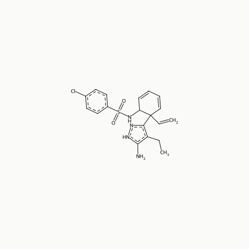 C=CC1(c2n[nH]c(N)c2CC)C=CC=CC1NS(=O)(=O)c1ccc(Cl)cc1